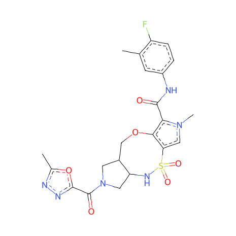 Cc1nnc(C(=O)N2CC3COc4c(cn(C)c4C(=O)Nc4ccc(F)c(C)c4)S(=O)(=O)NC3C2)o1